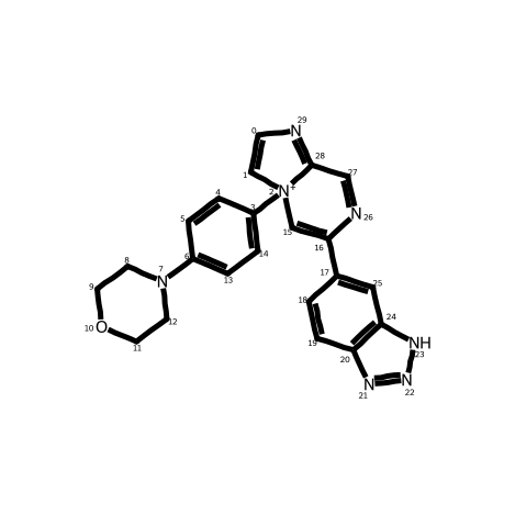 C1=C[N+]2(c3ccc(N4CCOCC4)cc3)C=C(c3ccc4nn[nH]c4c3)N=CC2=N1